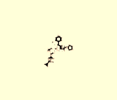 C[C@H]1CN(c2nc(-c3ccc(F)cc3F)c3sc(N4CCCC4)nc3n2)C[C@H](c2cnn(C3CC3)c2)O1